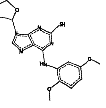 COc1ccc(OC)c(Nc2nc(S)nc3c2ncn3C2CCCO2)c1